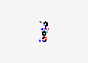 N#Cc1cccc(C(=O)Nc2ccc(C3CNCCO3)cc2F)n1